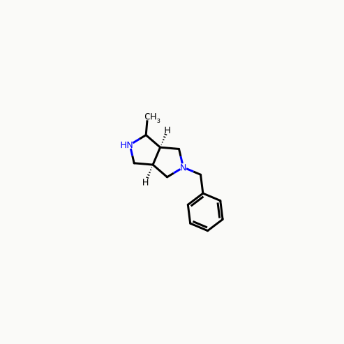 CC1NC[C@@H]2CN(Cc3ccccc3)C[C@H]12